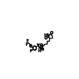 O=C1CCC(C/C=C/CCS(=O)(=O)NC2(c3ccc(F)c(OCC(F)F)c3)CC2)C(=O)N1